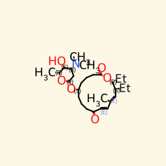 CC[C@H]1/C=C(C)/C=C/C(=O)CCC[C@H](O[C@H]2C[C@@H](N(C)C)[C@H](O)[C@@H](C)O2)CCCC(=O)O[C@@H]1CC